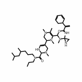 C=C(C(=N)OC(C1=C(C)N(C)CC(C2=CNC(C(=O)N(CCC)CCCC(C)CC(C)C)N(C)C2)N1C)N(C)C1(C)CN1)C1C=CC=CC1